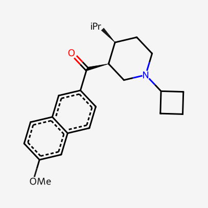 COc1ccc2cc(C(=O)[C@@H]3CN(C4CCC4)CC[C@@H]3C(C)C)ccc2c1